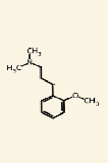 COc1ccccc1[CH]CCN(C)C